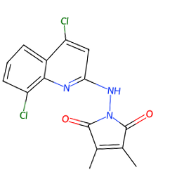 CC1=C(C)C(=O)N(Nc2cc(Cl)c3cccc(Cl)c3n2)C1=O